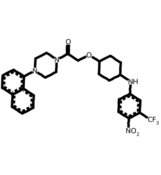 O=C(COC1CCC(Nc2ccc([N+](=O)[O-])c(C(F)(F)F)c2)CC1)N1CCN(c2cccc3ccccc23)CC1